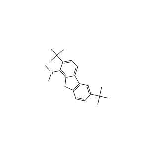 [CH3][Ti]([CH3])[c]1c(C(C)(C)C)ccc2c1Cc1ccc(C(C)(C)C)cc1-2